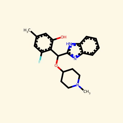 Cc1cc(O)c(C(OC2CCN(C)CC2)c2nc3ccccc3[nH]2)c(F)c1